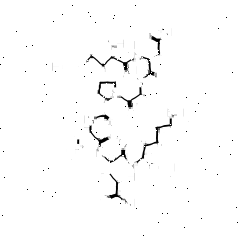 C[C@H](NC(=O)[C@H](CC(N)=O)NC(=O)[C@@H](N)CCC(=O)O)C(=O)N1CCC[C@H]1C(=O)N[C@@H](CC(=O)O)C(=O)N[C@@H](CCC(N)=O)C(=O)N[C@@H](CCCCN)C(=O)O